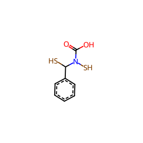 O=C(O)N(S)C(S)c1ccccc1